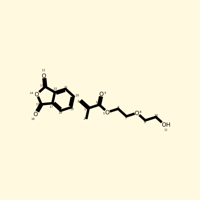 C=C(C)C(=O)OCCOCCO.O=C1OC(=O)c2ccccc21